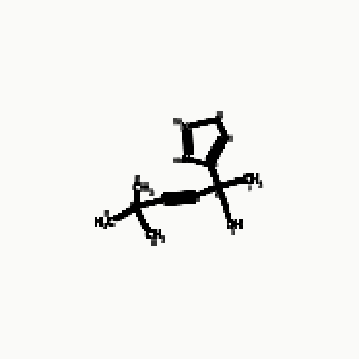 CC(C)(C)C#CC(C)(O)C1=CCN=N1